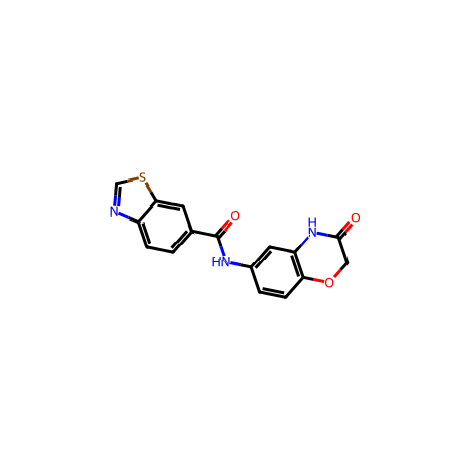 O=C1COc2ccc(NC(=O)c3ccc4ncsc4c3)cc2N1